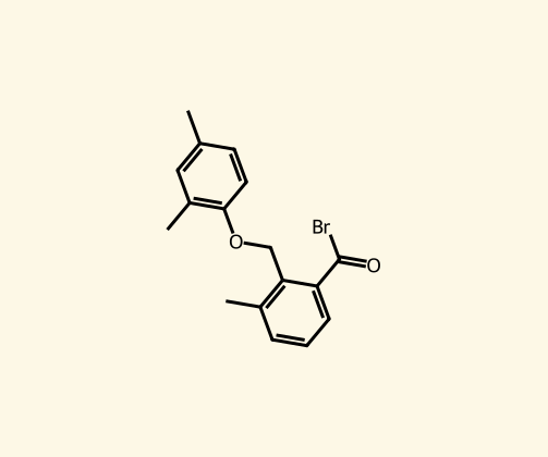 Cc1ccc(OCc2c(C)cccc2C(=O)Br)c(C)c1